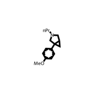 CCCN1CC2CC2(c2ccc(OC)cc2)C1